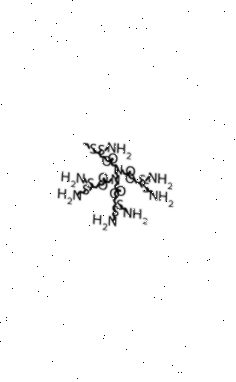 CCCSCC(CCOC(=O)CCN(CCC(=O)OCCC(CSCCN)SCCN)CCN(CCC(=O)OCCC(CSCCN)SCCN)CCC(=O)OCCC(CSCCN)SCCN)SCCN